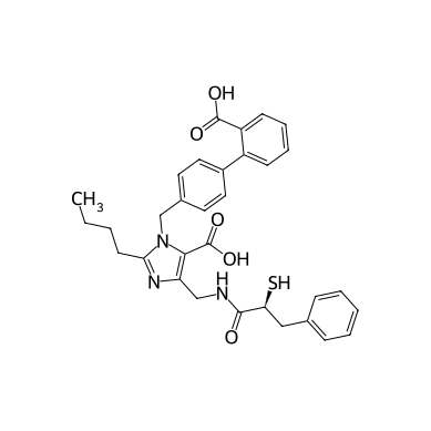 CCCCc1nc(CNC(=O)[C@@H](S)Cc2ccccc2)c(C(=O)O)n1Cc1ccc(-c2ccccc2C(=O)O)cc1